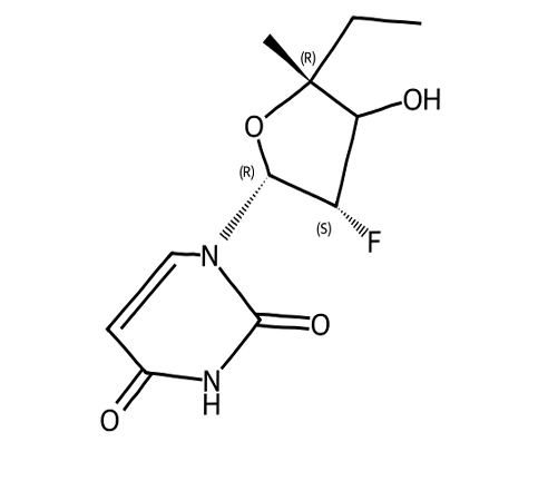 CC[C@@]1(C)O[C@@H](n2ccc(=O)[nH]c2=O)[C@@H](F)C1O